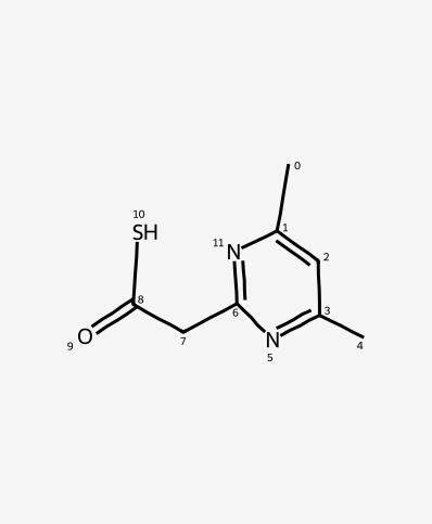 Cc1cc(C)nc(CC(=O)S)n1